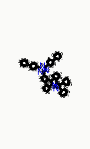 c1ccc(-c2ccc(-c3nc(-c4ccc(-c5ccccc5)cc4)nc(-c4cccc(-c5c(-c6ccccc6)n6nc(-c7ccccc7)c(-c7ccccc7)c6c6ccccc56)c4)n3)cc2)cc1